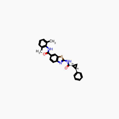 Cc1cccc(C)c1NC(=O)c1ccc2nc(NC(=O)[C@@H]3C[C@H]3c3ccccc3)sc2c1